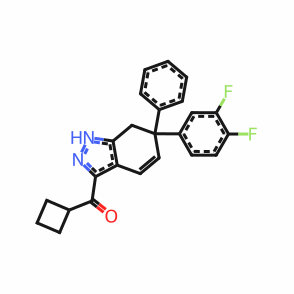 O=C(c1n[nH]c2c1C=CC(c1ccccc1)(c1ccc(F)c(F)c1)C2)C1CCC1